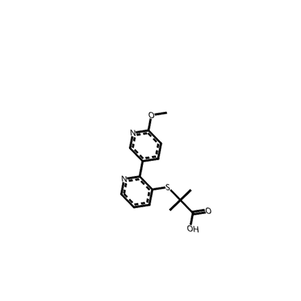 COc1ccc(-c2ncccc2SC(C)(C)C(=O)O)cn1